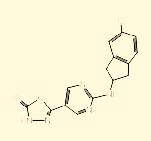 O=c1[nH]nc(-c2cnc(NC3Cc4ccc(Cl)cc4C3)nc2)o1